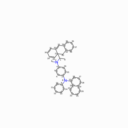 CC(N(C)c1ccc(N(c2ccccc2)c2cccc3ccccc23)cc1)C12C=CC=CC1=Cc1ccccc1C2